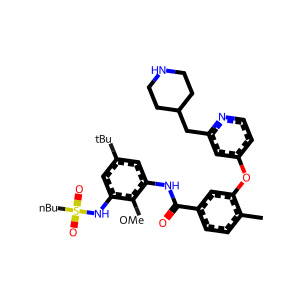 CCCCS(=O)(=O)Nc1cc(C(C)(C)C)cc(NC(=O)c2ccc(C)c(Oc3ccnc(CC4CCNCC4)c3)c2)c1OC